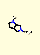 CC(=O)N1CCC2CN(C(=O)O)CC21